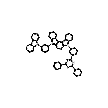 c1ccc(-c2nc(-c3ccccc3)nc(-c3cccc(-n4c5ccccc5c5c6c7ccccc7n(-c7cccc(-n8c9ccccc9c9ccccc98)c7)c6ccc54)c3)n2)cc1